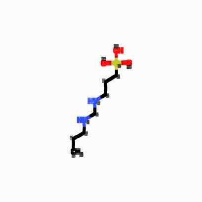 CCCNCNCCCS(=O)(=O)O